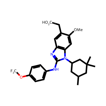 COc1cc2c(cc1CC(=O)O)nc(Nc1ccc(OC(F)(F)F)cc1)n2C1CC(C)CC(C)(C)C1